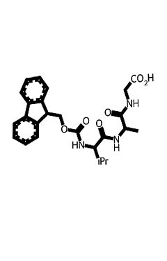 CC(NC(=O)C(NC(=O)OCC1c2ccccc2-c2ccccc21)C(C)C)C(=O)NCC(=O)O